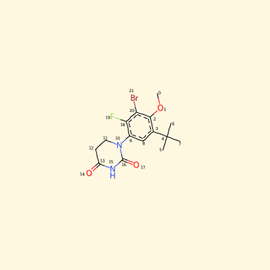 COc1c(C(C)(C)C)cc(N2CCC(=O)NC2=O)c(F)c1Br